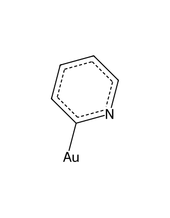 [Au][c]1ccccn1